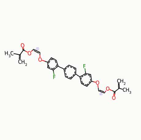 C=C(C)C(=O)O/C=C\Oc1ccc(-c2ccc(-c3ccc(O/C=C\OC(=O)C(=C)C)cc3F)cc2)c(F)c1